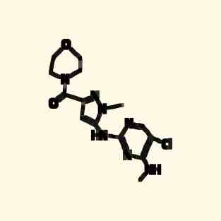 CNc1nc(Nc2cc(C(=O)N3CCOCC3)nn2C)ncc1Cl